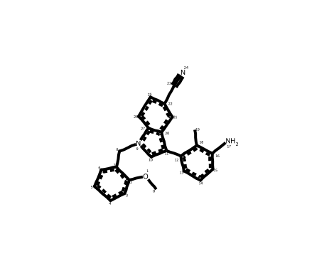 COc1ccccc1Cn1cc(-c2cccc(N)c2C)c2cc(C#N)ccc21